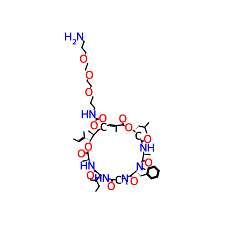 C/C=C(\C)[C@H]1OC(=O)[C@H](C)NC(=O)[C@H](C(C)CC)NC(=O)CN(C)C(=O)[C@@H](Cc2ccccc2)N(C)C(=O)[C@H](C)NC(=O)C[C@@H](CC(C)C)OC(=O)/C(C)=C/C[C@H](OC(=O)NCCCOCCOCCOCCCN)[C@@H]1C